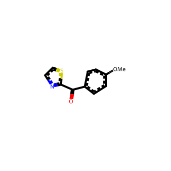 COc1ccc(C(=O)c2nccs2)cc1